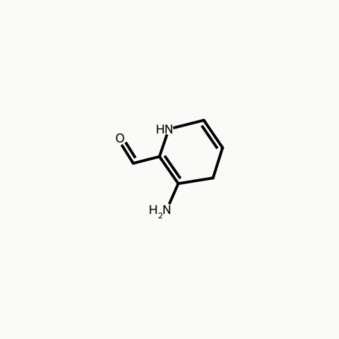 NC1=C(C=O)NC=CC1